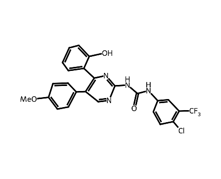 COc1ccc(-c2cnc(NC(=O)Nc3ccc(Cl)c(C(F)(F)F)c3)nc2-c2ccccc2O)cc1